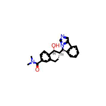 CN(C)C(=O)c1ccc2c(c1)CC[C@@H]([C@@H]1c3ccccc3-c3cncn31)[C@H]2O